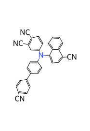 N#Cc1ccc(-c2ccc(N(c3ccc(C#N)c(C#N)c3)c3ccc(C#N)c4ccccc34)cc2)cc1